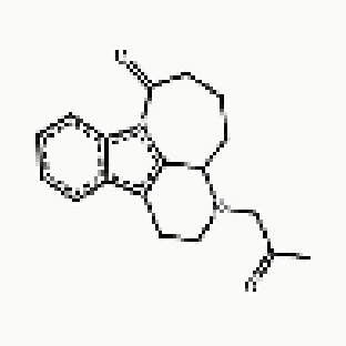 CC(=O)CN1CCc2c3n(c4ccccc24)C(=O)CCCC31